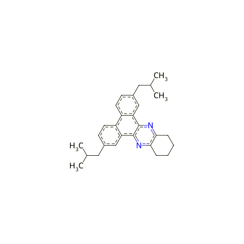 CC(C)Cc1ccc2c3ccc(CC(C)C)cc3c3nc4c(nc3c2c1)CCCC4